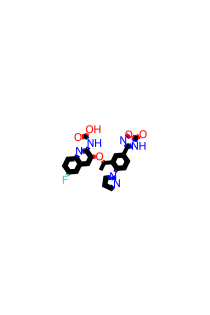 CC(Oc1cc2cc(F)ccc2nc1NC(=O)O)c1cc(-c2noc(=O)[nH]2)ccc1-n1cccn1